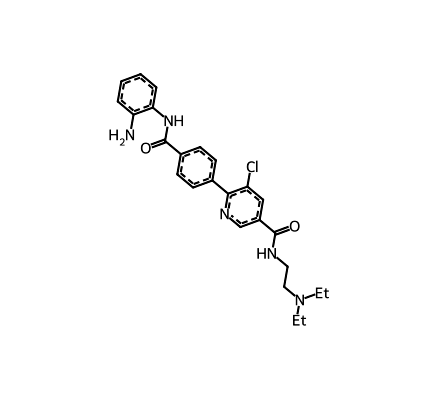 CCN(CC)CCNC(=O)c1cnc(-c2ccc(C(=O)Nc3ccccc3N)cc2)c(Cl)c1